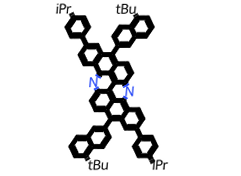 CC(C)c1ccc(-c2ccc3c(c2)c(-c2ccc4c(C(C)(C)C)cccc4c2)c2ccc4nc5c6ccc(-c7ccc(C(C)C)cc7)cc6c(-c6ccc7c(C(C)(C)C)cccc7c6)c6ccc7nc3c2c4c7c65)cc1